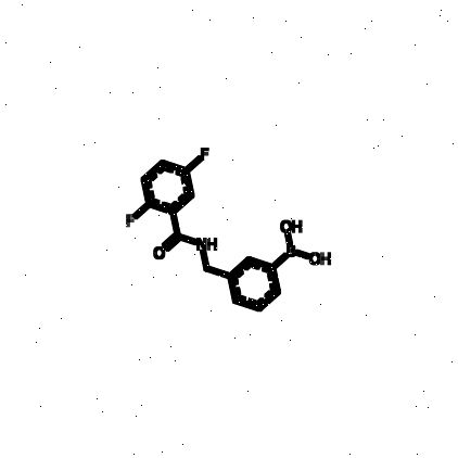 O=C(NCc1cccc(B(O)O)c1)c1cc(F)ccc1F